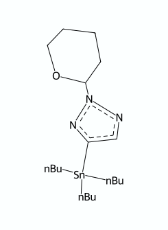 CCC[CH2][Sn]([CH2]CCC)([CH2]CCC)[c]1cnn(C2CCCCO2)n1